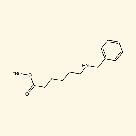 CC(C)(C)OC(=O)CCCCCNCc1ccccc1